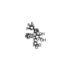 OCC1O[C@H](Sc2ccc(Cl)c(Cl)c2)C(OCc2nnn[nH]2)C(n2cc(-c3cc(F)c(F)c(F)c3)nn2)[C@H]1O